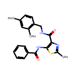 COc1ccc(CNC(=O)c2nc(SC)sc2NC(=O)c2ccccc2)c(OC)c1